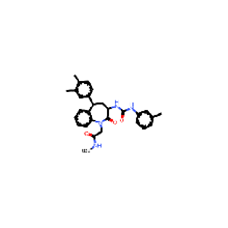 Cc1cccc(NC(=O)NC2CC(c3ccc(C)c(C)c3)c3ccccc3N(CC(=O)NC(C)(C)C)C2=O)c1